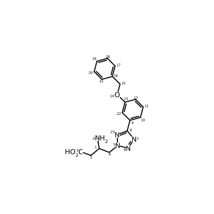 NC(CC(=O)O)Cn1nnc(-c2cccc(OCc3ccccc3)c2)n1